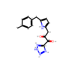 Cc1ccc(Cc2ccc(CC(=O)C(=O)c3nn[nH]n3)[nH]2)cc1